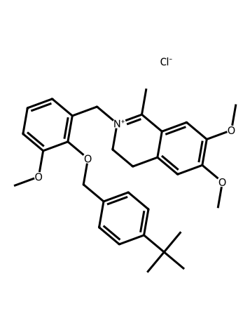 COc1cc2c(cc1OC)C(C)=[N+](Cc1cccc(OC)c1OCc1ccc(C(C)(C)C)cc1)CC2.[Cl-]